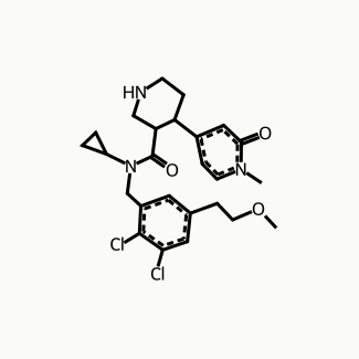 COCCc1cc(Cl)c(Cl)c(CN(C(=O)C2CNCCC2c2ccn(C)c(=O)c2)C2CC2)c1